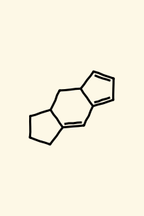 C1=CC2CC3CCCC3=CC2=C1